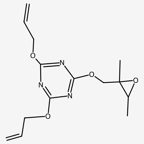 C=CCOc1nc(OCC=C)nc(OCC2(C)OC2C)n1